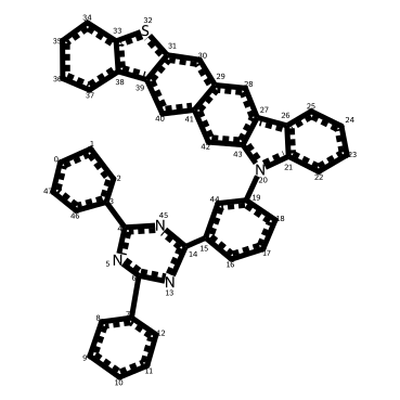 c1ccc(-c2nc(-c3ccccc3)nc(-c3cccc(-n4c5ccccc5c5cc6cc7sc8ccccc8c7cc6cc54)c3)n2)cc1